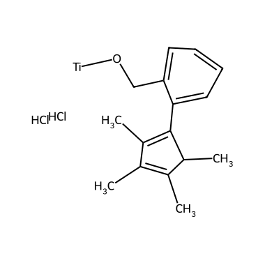 CC1=C(C)C(C)C(c2ccccc2C[O][Ti])=C1C.Cl.Cl